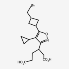 CC(C)CC1CC(c2onc(C(CCC(=O)O)CC(=O)O)c2C2CC2)C1